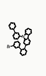 Brc1cccc(-c2ccccc2-c2ccc3c4ccccc4n(-c4cccc(-c5ccccc5)c4)c3c2)c1